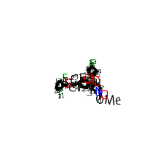 COC(=O)N1CCC(c2ccc(C(OCc3c(F)cccc3F)(C(F)(F)F)C(F)(F)F)cc2)(S(=O)(=O)c2ccc(F)cc2)CC1